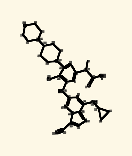 CN(C(=O)O)c1cc(Nc2nc(NC3CC3)c3ncc(C#N)n3n2)c(Cl)c(N2CCC(N3CCOCC3)CC2)c1